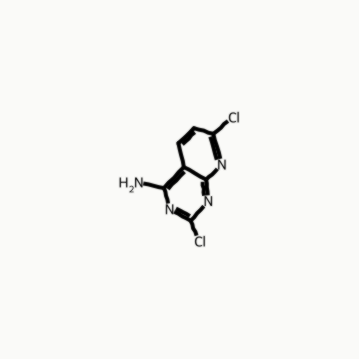 Nc1nc(Cl)nc2nc(Cl)ccc12